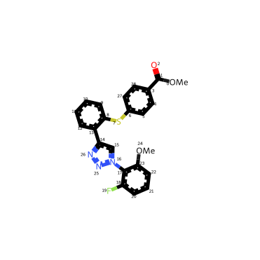 COC(=O)c1ccc(Sc2ccccc2-c2cn(-c3c(F)cccc3OC)nn2)cc1